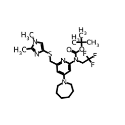 Cc1nc(SCc2cc(N3CCCCCC3)cc(N(CC(F)(F)F)C(=O)OC(C)(C)C)n2)cn1C